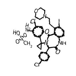 CS(=O)(=O)O.Nc1cc(C2(N3C(=O)c4c(ccc(I)c4CCN4CCOCC4)NC(=O)C3c3ccc(Cl)cc3)CC2)ccc1Cl